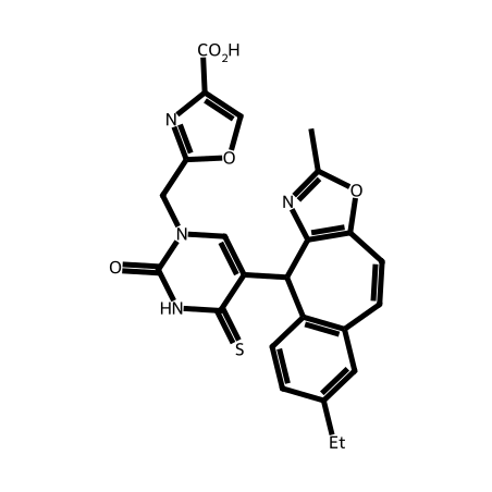 CCc1ccc2c(c1)C=Cc1oc(C)nc1C2c1cn(Cc2nc(C(=O)O)co2)c(=O)[nH]c1=S